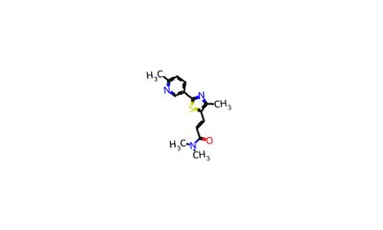 Cc1ccc(-c2nc(C)c(C=CC(=O)N(C)C)s2)cn1